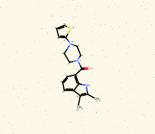 Cc1[nH]c2c(C(=O)N3CCN(c4cccs4)CC3)cccc2c1C